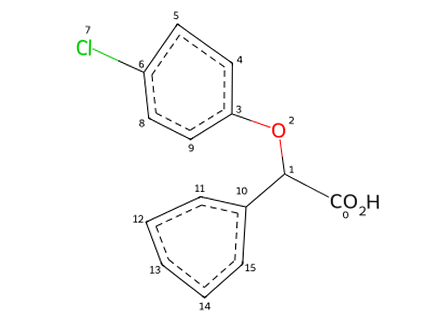 O=C(O)C(Oc1ccc(Cl)cc1)c1ccccc1